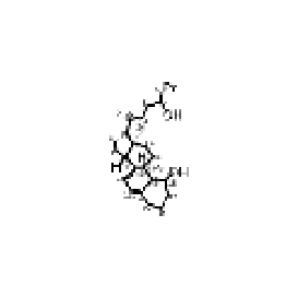 CC(C)C(O)CC[C@@H](C)[C@H]1CC[C@H]2C3=CC=C4CCCC(O)[C@]4(C)[C@H]3CC[C@]12C